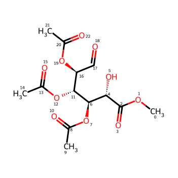 COC(=O)[C@@H](O)[C@@H](OC(C)=O)[C@H](OC(C)=O)[C@H](C=O)OC(C)=O